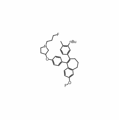 CCCCc1cc(C2=C(c3ccc(OC4CCN(CCCF)C4)cc3)c3ccc(OF)cc3CCC2)ccc1C